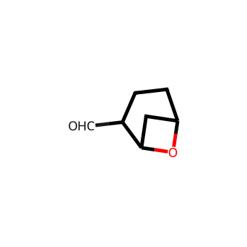 O=CC1CCC2CC1O2